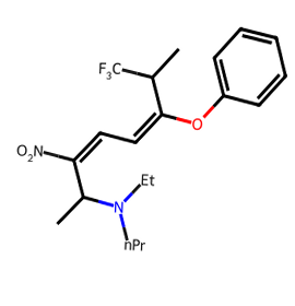 CCCN(CC)C(C)/C(=C\C=C(\Oc1ccccc1)C(C)C(F)(F)F)[N+](=O)[O-]